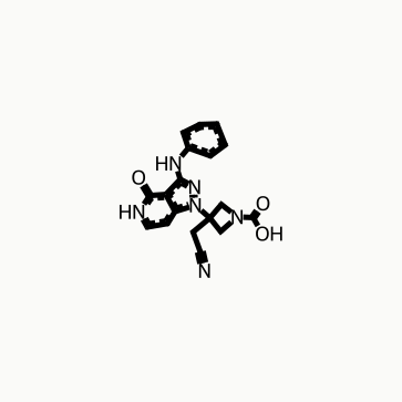 N#CCC1(n2nc(Nc3ccccc3)c3c(=O)[nH]ccc32)CN(C(=O)O)C1